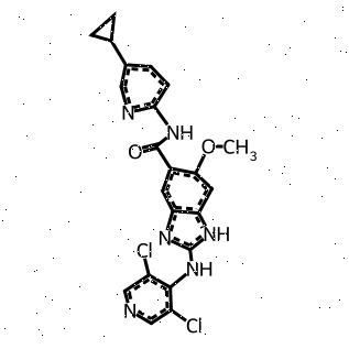 COc1cc2[nH]c(Nc3c(Cl)cncc3Cl)nc2cc1C(=O)Nc1ccc(C2CC2)cn1